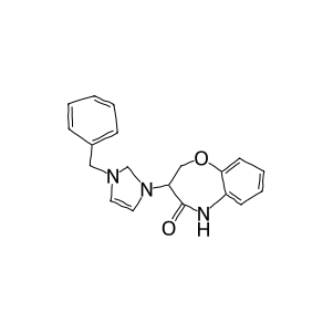 O=C1Nc2ccccc2OCC1N1C=CN(Cc2ccccc2)C1